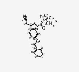 CC(C)(C)OC(=O)n1cc(CC#N)c2ccc(OCc3ccccc3)cc21